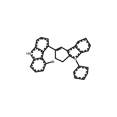 Brc1cccc2[nH]c3cccc(C4=Cc5c(n(-c6ccccc6)c6ccccc56)CC4)c3c12